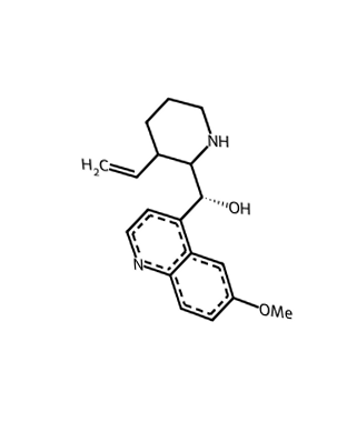 C=CC1CCCNC1[C@H](O)c1ccnc2ccc(OC)cc12